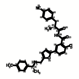 Cc1ccc([C@@H](C)NCc2ccc(-c3ccc(Cl)c(C(=O)NC(=O)[C@H](N)Cc4ccc(C#N)cc4)c3)o2)cc1